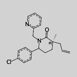 C=CC[C@@]1(C)CCC(c2ccc(Cl)cc2)N(Cc2ccccn2)C1=O